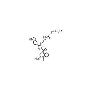 CCOC(=O)CCCC(=O)NCCCOc1cc(C(=O)N2CC[C@H](C)Nc3ccccc32)ccc1-c1ccc2[nH]ccc2c1